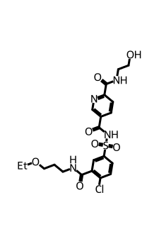 CCOCCCNC(=O)c1cc(S(=O)(=O)NC(=O)c2ccc(C(=O)NCCO)nc2)ccc1Cl